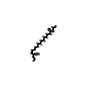 CCCC(O)/C=C\CCCCCCCCCCCC(=O)OCC